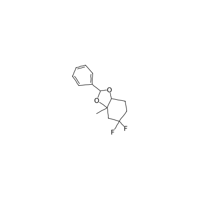 CC12CC(F)(F)CCC1OC(c1ccccc1)O2